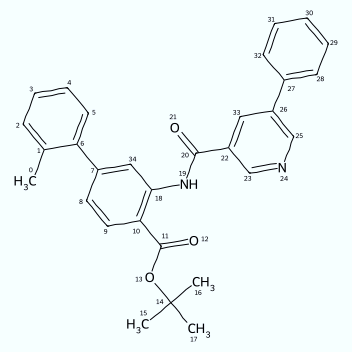 Cc1ccccc1-c1ccc(C(=O)OC(C)(C)C)c(NC(=O)c2cncc(-c3ccccc3)c2)c1